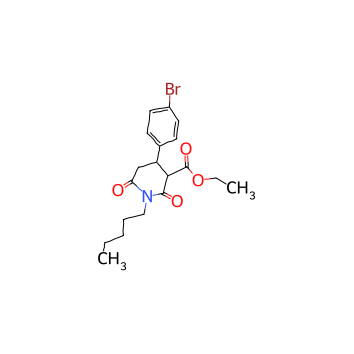 CCCCCN1C(=O)CC(c2ccc(Br)cc2)C(C(=O)OCC)C1=O